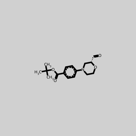 CC(C)(C)OC(=O)c1ccc(N2CCO[C@@H](C=O)C2)cc1